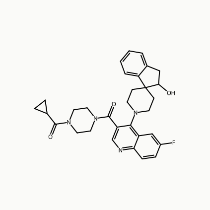 O=C(c1cnc2ccc(F)cc2c1N1CCC2(CC1)c1ccccc1CC2O)N1CCN(C(=O)C2CC2)CC1